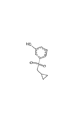 O=S(=O)(CC1CC1)c1cccc(O)c1